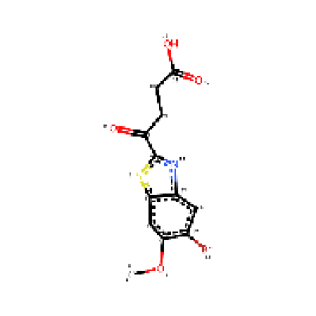 COc1cc2sc(C(=O)CCC(=O)O)nc2cc1Br